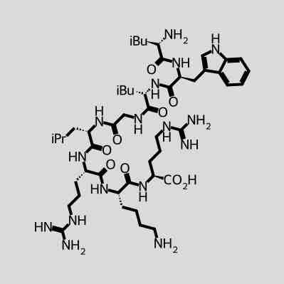 CC[C@H](C)[C@H](N)C(=O)N[C@@H](Cc1c[nH]c2ccccc12)C(=O)N[C@H](C(=O)NCC(=O)N[C@@H](CC(C)C)C(=O)N[C@@H](CCCNC(=N)N)C(=O)N[C@@H](CCCCN)C(=O)N[C@@H](CCCNC(=N)N)C(=O)O)[C@@H](C)CC